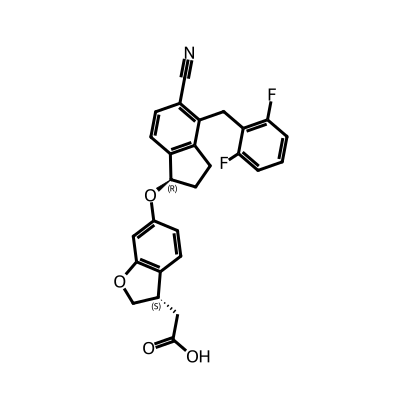 N#Cc1ccc2c(c1Cc1c(F)cccc1F)CC[C@H]2Oc1ccc2c(c1)OC[C@H]2CC(=O)O